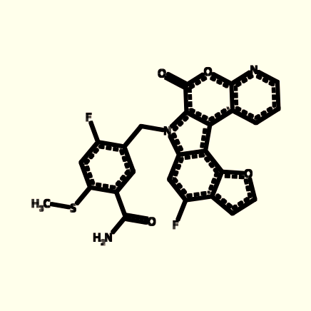 CSc1cc(F)c(Cn2c3cc(F)c4ccoc4c3c3c4cccnc4oc(=O)c32)cc1C(N)=O